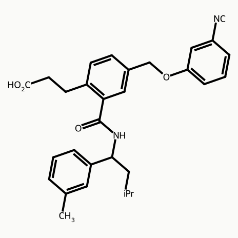 [C-]#[N+]c1cccc(OCc2ccc(CCC(=O)O)c(C(=O)NC(CC(C)C)c3cccc(C)c3)c2)c1